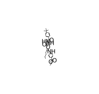 CCCCC(COC(=O)NNC(=O)c1ccc(C(C)(C)C)cc1)Nc1ccc(C(=O)OCC)cc1